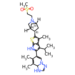 CC1=C(C)C2NC=NN2C=C1c1[nH]c2sc([C@@H]3C[C@@H]4C[C@H]3CN4CCS(C)(=O)=O)c(C)c2c1C(C)C